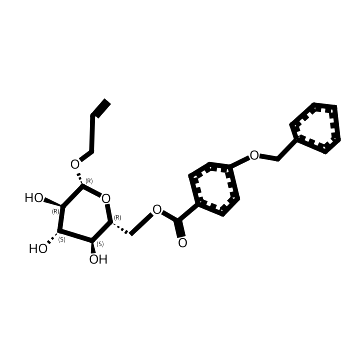 C=CCO[C@@H]1O[C@H](COC(=O)c2ccc(OCc3ccccc3)cc2)[C@@H](O)[C@H](O)[C@H]1O